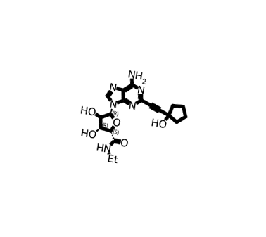 CCNC(=O)[C@H]1O[C@@H](n2cnc3c(N)nc(C#CC4(O)CCCC4)nc32)C(O)[C@H]1O